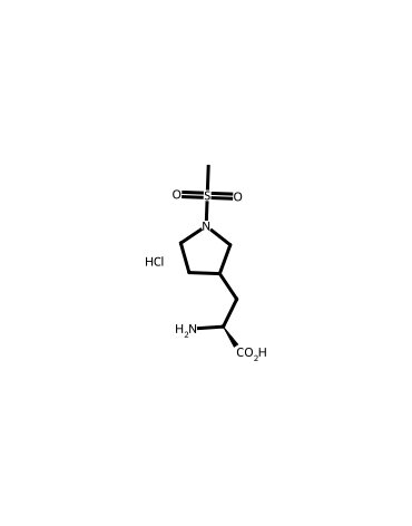 CS(=O)(=O)N1CCC(C[C@H](N)C(=O)O)C1.Cl